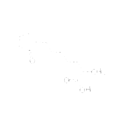 CC(CCCCCC1=CCCC1=O)C(=O)O